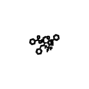 O=C(ON1C=COc2c(c(C(F)(F)F)nn2-c2ccccc2)C1C=Cc1ccccc1)c1ccccc1